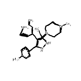 C=C/C=C(\C=C/N)C1=C(c2ccc(C)cc2)NNC1(C)N1CCN(C)CC1